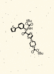 CC(C)(C)OC(=O)NN(C(=O)c1ncc(N2CCN(C(=O)OC(C)(C)C)CC2)s1)c1cccc(-c2cccs2)c1